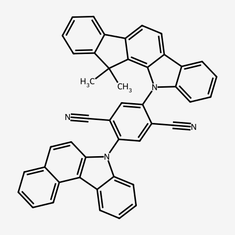 CC1(C)c2ccccc2-c2ccc3c4ccccc4n(-c4cc(C#N)c(-n5c6ccccc6c6c7ccccc7ccc65)cc4C#N)c3c21